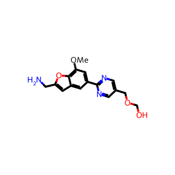 COc1cc(-c2ncc(COCO)cn2)cc2cc(CN)oc12